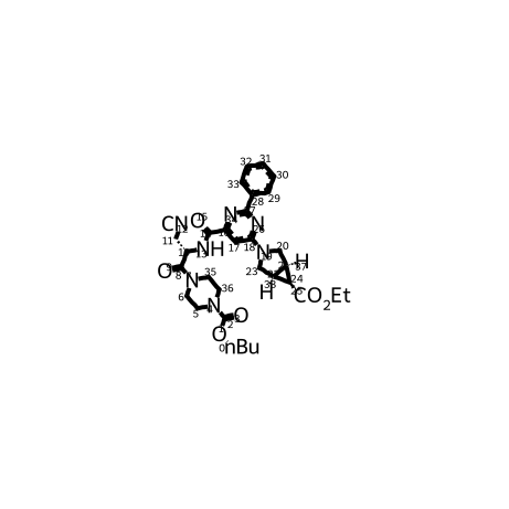 CCCCOC(=O)N1CCN(C(=O)[C@H](CC#N)NC(=O)c2cc(N3C[C@@H]4[C@H](C3)[C@@H]4C(=O)OCC)nc(-c3ccccc3)n2)CC1